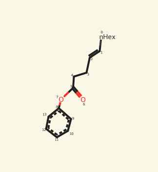 CCCCCCC=CCCC(=O)Oc1ccccc1